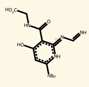 CCCCc1cc(O)c(C(=O)NCC(=O)O)/c(=N/C=N)[nH]1